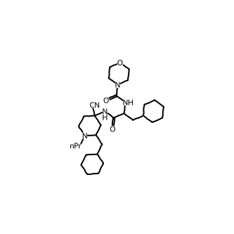 CCCN1CCC(C#N)(NC(=O)C(CC2CCCCC2)NC(=O)N2CCOCC2)CC1CC1CCCCC1